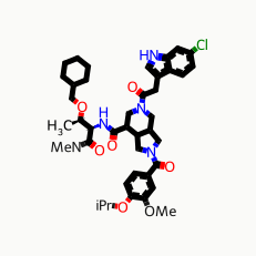 CNC(=O)[C@H](NC(=O)C1CN(C(=O)Cc2c[nH]c3cc(Cl)ccc23)CC2CN(C(=O)c3ccc(OC(C)C)c(OC)c3)CC21)[C@@H](C)OCC1CCCCC1